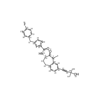 CN1C(=O)[C@@H](NC(=O)n2cc(Cc3ccc(F)nc3)cn2)CCc2ccc(C#CC(C)(C)O)cc21